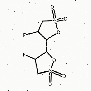 O=S1(=O)CC(F)C(C2OS(=O)(=O)CC2F)O1